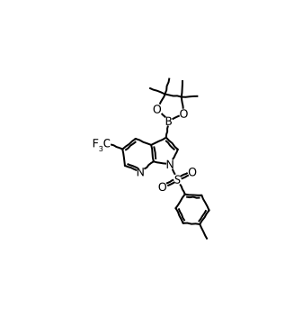 Cc1ccc(S(=O)(=O)n2cc(B3OC(C)(C)C(C)(C)O3)c3cc(C(F)(F)F)cnc32)cc1